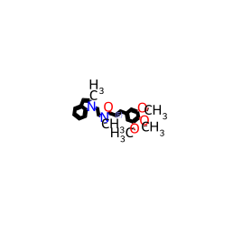 COc1cc(/C=C/C(=O)N(C)CCn2c(C)cc3ccccc32)cc(OC)c1OC